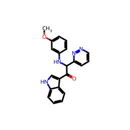 COc1cccc(NC(C(=O)c2c[nH]c3ccccc23)c2cccnn2)c1